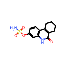 NS(=O)(=O)Oc1ccc2c3c(c(=O)[nH]c2c1)CCCC3